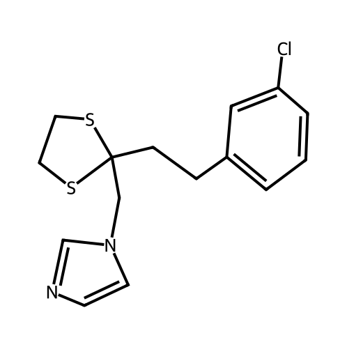 Clc1cccc(CCC2(Cn3ccnc3)SCCS2)c1